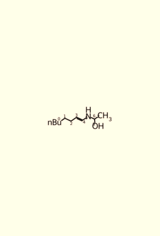 CCCCCCC=CNC(C)O